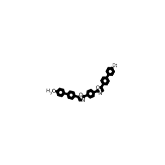 CCc1ccc(-c2ccc(-c3cnc(-c4ccc(-c5ncc(-c6ccc(-c7ccc(C)cc7)cc6)o5)cc4)o3)cc2)cc1